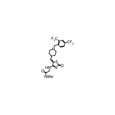 CNC(=O)CNC1=NC(=O)S/C1=C\C1CCN(Cc2ccc(C(F)(F)F)cc2C(F)(F)F)CC1